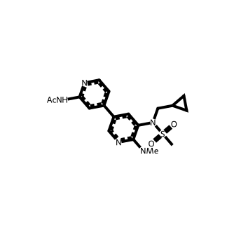 CNc1ncc(-c2ccnc(NC(C)=O)c2)cc1N(CC1CC1)S(C)(=O)=O